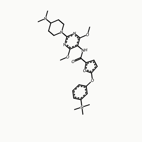 COc1nc(N2CCC(N(C)C)CC2)nc(OC)c1NC(=O)c1ccc(Oc2cccc([Si](C)(C)C)c2)o1